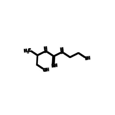 CC(CO)NC(=N)NCCS